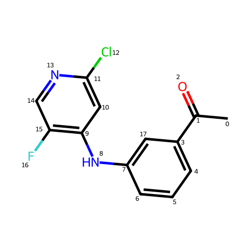 CC(=O)c1cccc(Nc2cc(Cl)ncc2F)c1